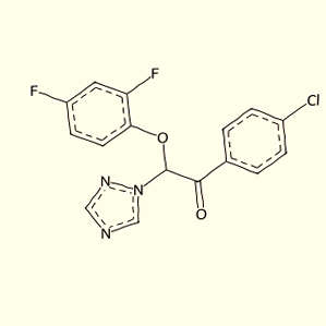 O=C(c1ccc(Cl)cc1)C(Oc1ccc(F)cc1F)n1cncn1